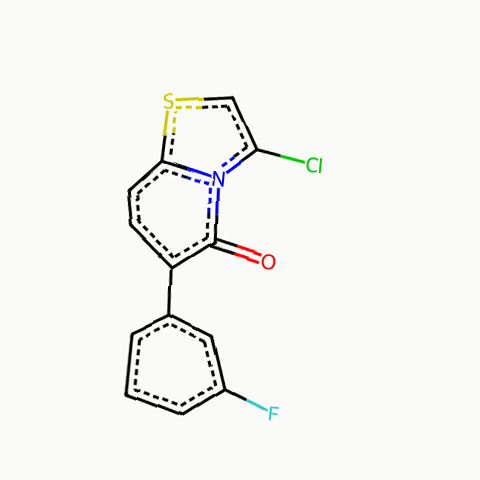 O=c1c(-c2cccc(F)c2)ccc2scc(Cl)n12